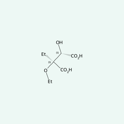 CCO[C@](CC)(C(=O)O)[C@H](O)C(=O)O